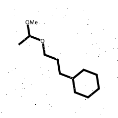 COC(C)OCCCC1CCCCC1